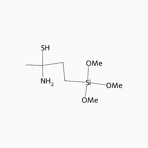 CO[Si](CCC(C)(N)S)(OC)OC